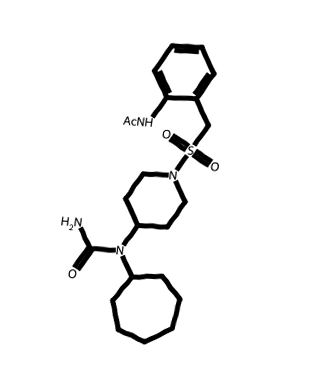 CC(=O)Nc1ccccc1CS(=O)(=O)N1CCC(N(C(N)=O)C2CCCCCC2)CC1